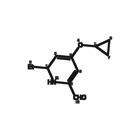 CCC1C=C(OC2CC2)C=C(C=O)N1